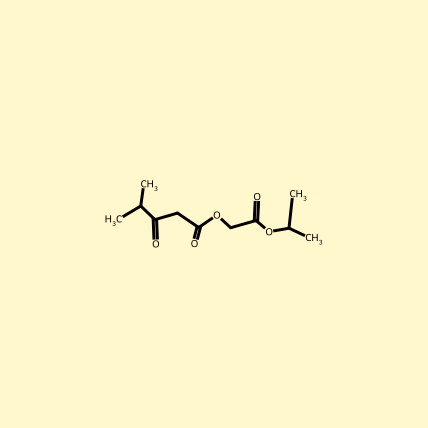 CC(C)OC(=O)COC(=O)CC(=O)C(C)C